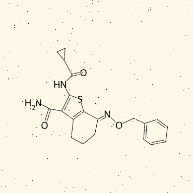 NC(=O)c1c(NC(=O)C2CC2)sc2c1CCCC2=NOCc1ccccc1